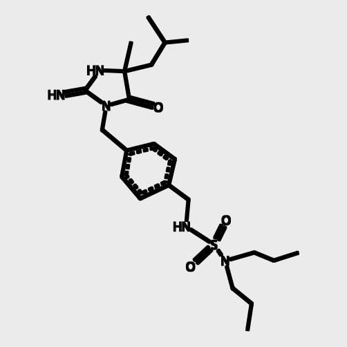 CCCN(CCC)S(=O)(=O)NCc1ccc(CN2C(=N)NC(C)(CC(C)C)C2=O)cc1